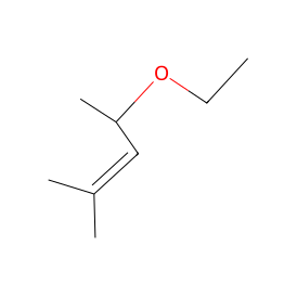 CCOC(C)C=C(C)C